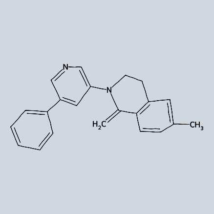 C=C1c2ccc(C)cc2CCN1c1cncc(-c2ccccc2)c1